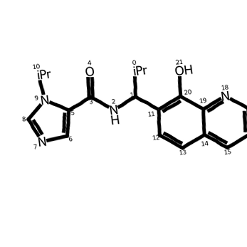 CC(C)C(NC(=O)c1cncn1C(C)C)c1ccc2cccnc2c1O